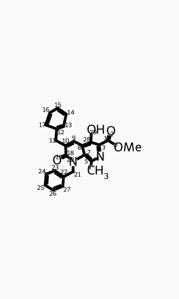 COC(=O)c1nc(C)c2c(cc(Cc3ccccc3)c(=O)n2Cc2ccccc2)c1O